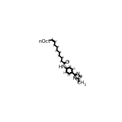 CCCCCCCC/C=C\CCCCCCCC(=O)Nc1ccc(-c2nnn(C)n2)cc1